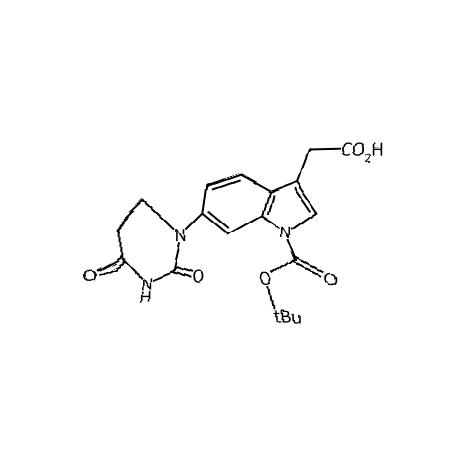 CC(C)(C)OC(=O)n1cc(CC(=O)O)c2ccc(N3CCC(=O)NC3=O)cc21